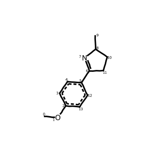 COc1ccc(C2=NC(C)CC2)cc1